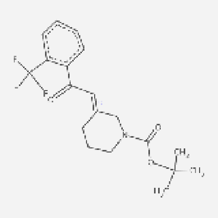 CC(C)(C)OC(=O)N1CCC/C(=C\C(=O)c2ccccc2C(F)(F)F)C1